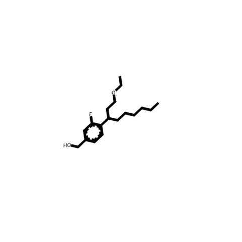 CCCCCCC(C[CH]OCC)c1ccc(CO)cc1F